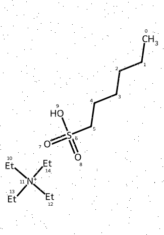 CCCCCCS(=O)(=O)O.CC[N+](CC)(CC)CC